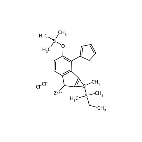 CC[Si](C)(C)[Si]1(C)C2=C1[CH]([Zr+2])c1ccc(O[Si](C)(C)C)c(C3=CC=CC3)c12.[Cl-].[Cl-]